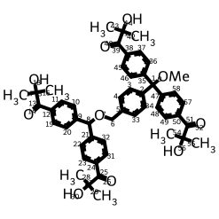 COC(c1ccc(COC(c2ccc(C(=O)C(C)(C)O)cc2)c2ccc(C(=O)C(C)(C)O)cc2)cc1)(c1ccc(C(=O)C(C)(C)O)cc1)c1ccc(C(=O)C(C)(C)O)cc1